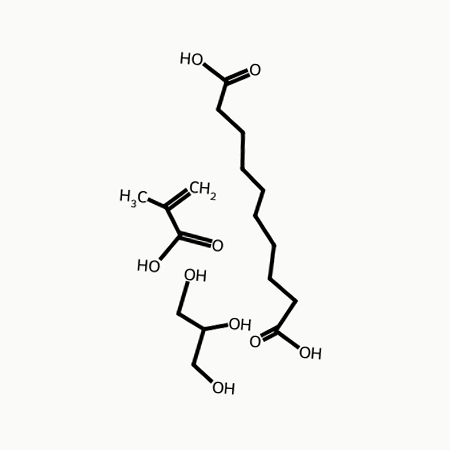 C=C(C)C(=O)O.O=C(O)CCCCCCCCC(=O)O.OCC(O)CO